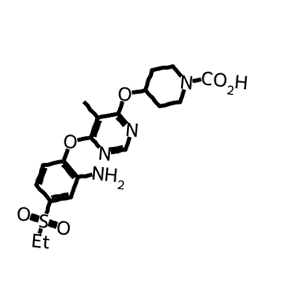 CCS(=O)(=O)c1ccc(Oc2ncnc(OC3CCN(C(=O)O)CC3)c2C)c(N)c1